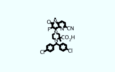 Cn1c(=O)c(F)c(N2CCN(C(c3ccc(Cl)cc3)c3ccc(Cl)cc3)C(C)(C(=O)O)C2)c2nc(C#N)ccc21